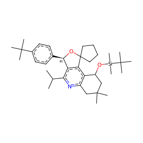 CC(C)c1nc2c(c3c1[C@@H](c1ccc(C(C)(C)C)cc1)OC31CCCC1)C(O[Si](C)(C)C(C)(C)C)CC(C)(C)C2